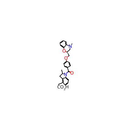 CC1Cc2c(CC(=O)O)cccc2N1C(=O)c1ccc(OC[C@@H]2CN(C)c3ccccc3O2)cc1